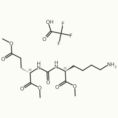 COC(=O)CC[C@H](NC(=O)N[C@@H](CCCCN)C(=O)OC)C(=O)OC.O=C(O)C(F)(F)F